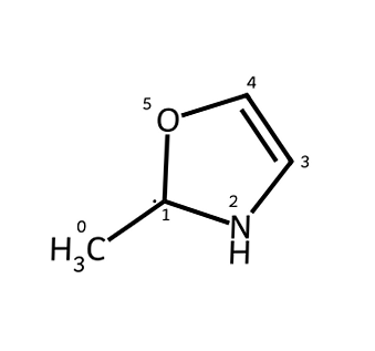 C[C]1NC=CO1